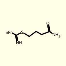 CCCC(=N)SCCCC(N)=O